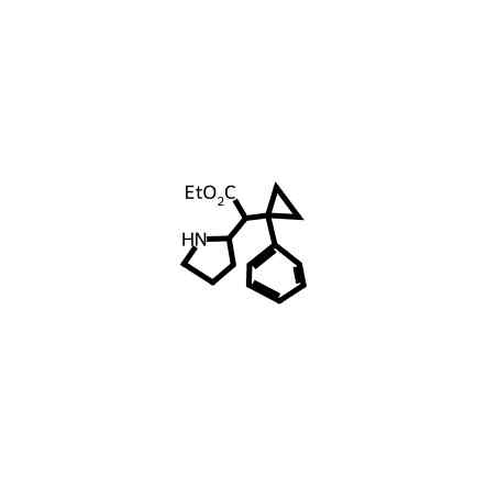 CCOC(=O)C(C1CCCN1)C1(c2ccccc2)CC1